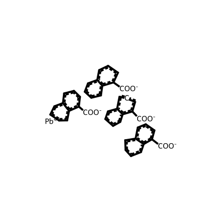 O=C([O-])c1cccc2ccccc12.O=C([O-])c1cccc2ccccc12.O=C([O-])c1cccc2ccccc12.O=C([O-])c1cccc2ccccc12.[Pb+4]